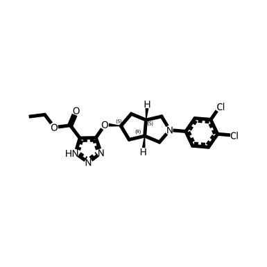 CCOC(=O)c1[nH]nnc1O[C@H]1C[C@@H]2CN(c3ccc(Cl)c(Cl)c3)C[C@@H]2C1